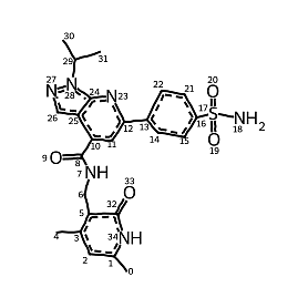 Cc1cc(C)c(CNC(=O)c2cc(-c3ccc(S(N)(=O)=O)cc3)nc3c2cnn3C(C)C)c(=O)[nH]1